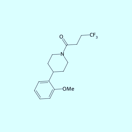 COc1ccccc1C1CCN(C(=O)CCC(F)(F)F)CC1